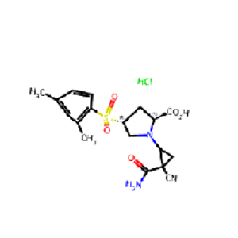 Cc1ccc(S(=O)(=O)[C@@H]2C[C@@H](C(=O)O)N(C3CC3(C#N)C(N)=O)C2)c(C)c1.Cl